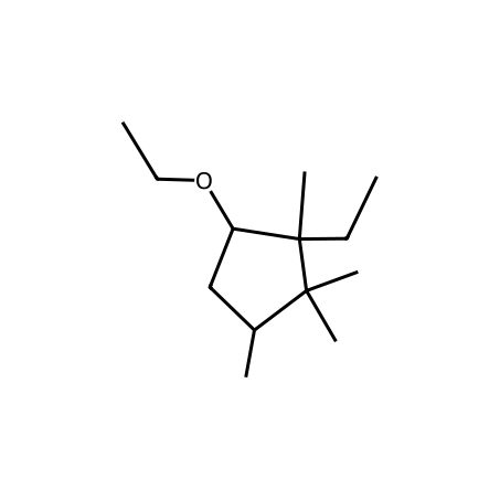 CCOC1CC(C)C(C)(C)C1(C)CC